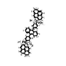 C[Si](C)(c1ccc(-c2c3ccccc3c(-c3ccc([Si](C)(C)c4ccc5ccc6cccc7ccc4c5c67)cc3)c3ccccc23)cc1)c1ccc2ccc3cccc4ccc1c2c34